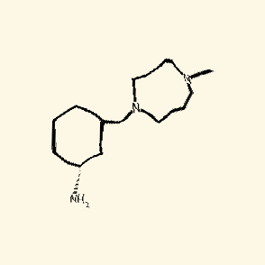 CN1CCN(C2CCC[C@@H](N)C2)CC1